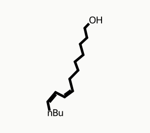 CCCC/C=C\C=C/CCCCCCCO